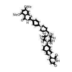 [2H]C1([2H])N(CC2CCN(c3ccc(-c4nc5cc(OC)cc(OC)c5c(=O)[nH]4)cc3)CC2)C([2H])([2H])C([2H])([2H])N(c2ccc3cn(C4CCC(=O)NC4=O)cc3c2)C1([2H])[2H]